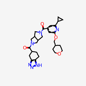 O=C(c1cc(OCC2CCOCC2)nc(C2CC2)c1)N1CC2CN(C(=O)C3CCc4[nH]nnc4C3)CC2C1